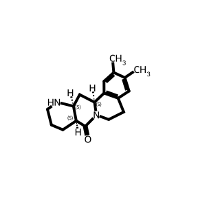 Cc1cc2c(cc1C)[C@@H]1C[C@@H]3NCCC[C@@H]3C(=O)N1CC2